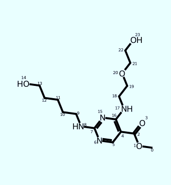 COC(=O)c1cnc(NCCCCCO)nc1NCCOCCO